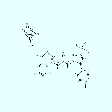 Cc1ccc(-n2nc(C(C)(C)C)cc2NC(=O)Nc2ccc(OCCN3CC4CC3CO4)c3ccccc23)cc1